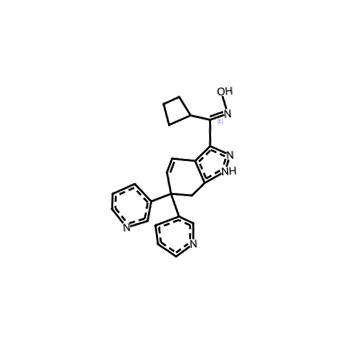 O/N=C(/c1n[nH]c2c1C=CC(c1cccnc1)(c1cccnc1)C2)C1CCC1